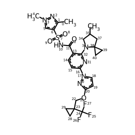 Cc1nn(C)cc1S(=O)(=O)NC(=O)c1ccc(-n2ccc(OCC3(C(F)(F)F)CC3)n2)nc1N1CC(C)CC12CC2